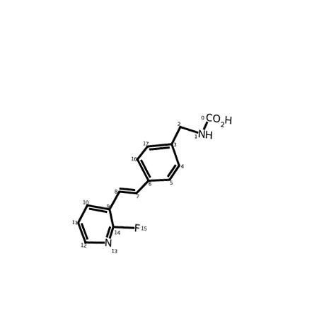 O=C(O)NCc1ccc(C=Cc2cccnc2F)cc1